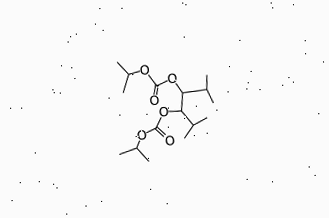 CC(C)OC(=O)OC(C(C)C)C(OC(=O)OC(C)C)C(C)C